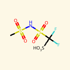 CS(=O)(=O)NS(=O)(=O)C(F)(F)S(=O)(=O)O